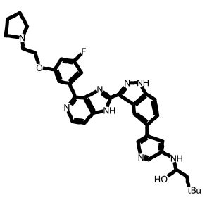 CC(C)(C)CC(O)Nc1cncc(-c2ccc3[nH]nc(-c4nc5c(-c6cc(F)cc(OCCN7CCCC7)c6)nccc5[nH]4)c3c2)c1